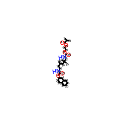 C=C(C)C(=O)OCCOC(=O)NCC(C)(C)CC(C)CCNC(=O)Oc1ccc2ccccc2c1